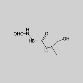 CN(CO)NC(=O)BNC=O